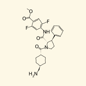 COC(=O)c1cc(F)c(NC(=O)[C@@H]2[C@@H](c3ccccc3)CCN2C(=O)[C@H]2CC[C@H](CN)CC2)cc1F